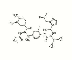 CCC(=O)N[C@@H](C(=O)N1CCN(C)[C@H](C)C1)[C@@H](C)c1ccc(NC(=O)[C@@H](NC(O)c2ccnn2CC(F)F)C(C2CC2)C2CC2)c(F)c1